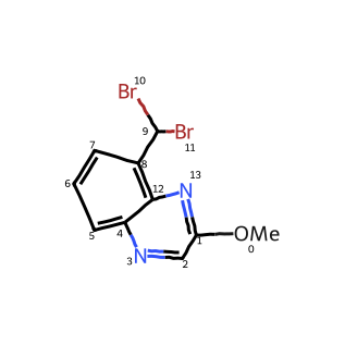 COc1cnc2cccc(C(Br)Br)c2n1